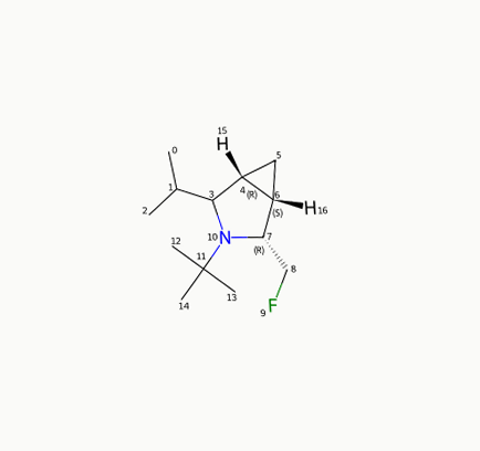 CC(C)C1[C@@H]2C[C@@H]2[C@H](CF)N1C(C)(C)C